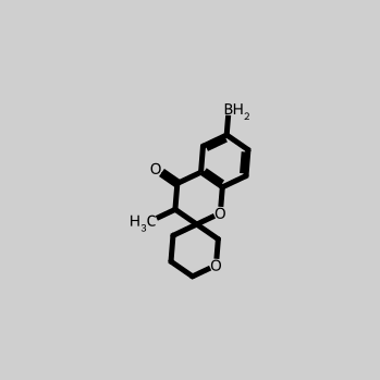 Bc1ccc2c(c1)C(=O)C(C)C1(CCCOC1)O2